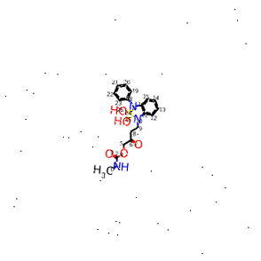 CNC(=O)OCC(=O)CCN1c2ccccc2N(c2ccccc2)S1(O)O